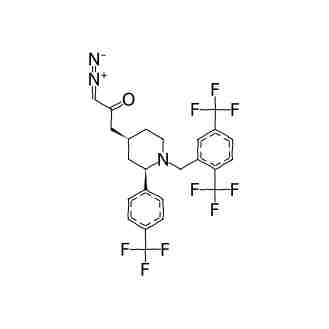 [N-]=[N+]=CC(=O)C[C@H]1CCN(Cc2cc(C(F)(F)F)ccc2C(F)(F)F)[C@@H](c2ccc(C(F)(F)F)cc2)C1